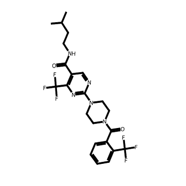 CC(C)CCNC(=O)c1cnc(N2CCN(C(=O)c3ccccc3C(F)(F)F)CC2)nc1C(F)(F)F